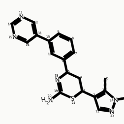 Cc1c(C2CC(c3cccc(-c4cncnc4)c3)N=C(N)S2)cnn1C